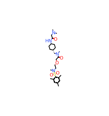 Cc1cc(C)c(S(=O)(=O)N(C)CCOCC(=O)N(C)C[C@H]2CC[C@H](NC(=O)CN(C)C)CC2)c(C)c1